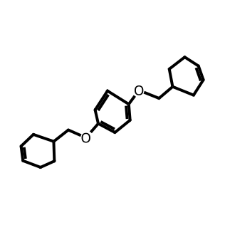 C1=CCC(COc2ccc(OCC3CC=CCC3)cc2)CC1